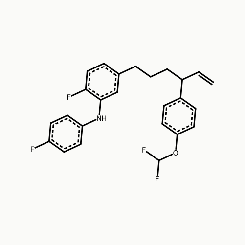 C=CC(CCCc1ccc(F)c(Nc2ccc(F)cc2)c1)c1ccc(OC(F)F)cc1